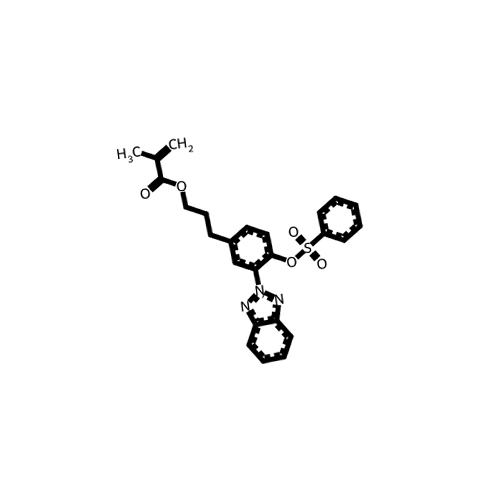 C=C(C)C(=O)OCCCc1ccc(OS(=O)(=O)c2ccccc2)c(-n2nc3ccccc3n2)c1